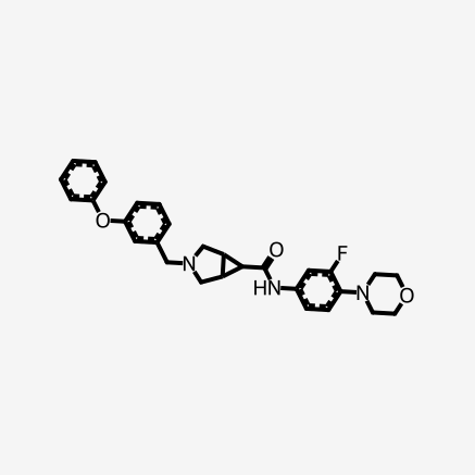 O=C(Nc1ccc(N2CCOCC2)c(F)c1)C1C2CN(Cc3cccc(Oc4ccccc4)c3)CC21